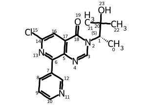 C[C@H](n1cnc2c(-c3cccnc3)nc(Cl)cc2c1=O)C(C)(C)O